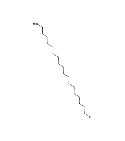 CC(C)(C)CCCCCCCCCCCCCCCCCC[O]